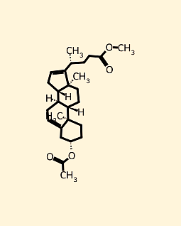 COC(=O)CC[C@@H](C)C1=CC[C@H]2[C@@H]3CC=C4C[C@@H](OC(C)=O)CC[C@]4(C)[C@H]3CC[C@]12C